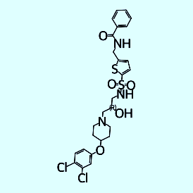 O=C(NCc1ccc(S(=O)(=O)NC[C@H](O)CN2CCC(Oc3ccc(Cl)c(Cl)c3)CC2)s1)c1ccccc1